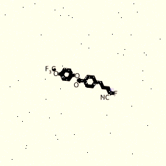 N#C/C(F)=C\CCC1CCC(C(=O)Oc2ccc(OC(F)(F)F)cc2)CC1